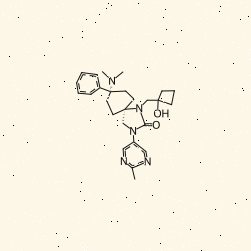 Cc1ncc(N2C[C@]3(CC[C@@](c4ccccc4)(N(C)C)CC3)N(CC3(O)CCC3)C2=O)cn1